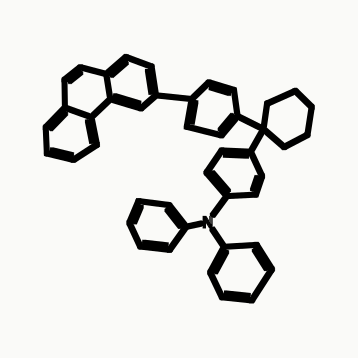 c1ccc(N(c2ccccc2)c2ccc(C3(c4ccc(-c5ccc6ccc7ccccc7c6c5)cc4)CCCCC3)cc2)cc1